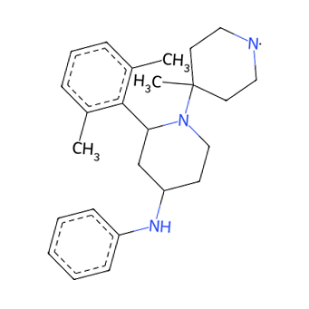 Cc1cccc(C)c1C1CC(Nc2ccccc2)CCN1C1(C)CC[N]CC1